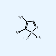 C[N+]1(N)N=CC(N)=C1N